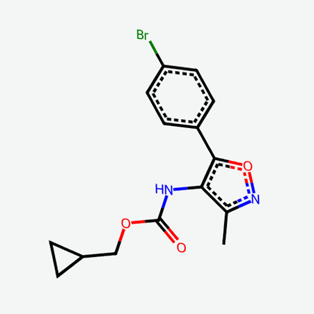 Cc1noc(-c2ccc(Br)cc2)c1NC(=O)OCC1CC1